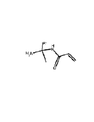 C=CC(=O)NC(C)(N)C(C)C